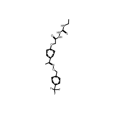 CCNC(=S)NNC(=O)COc1ccc(C(C)=NOCc2ccc(C(F)(F)F)cc2)cc1